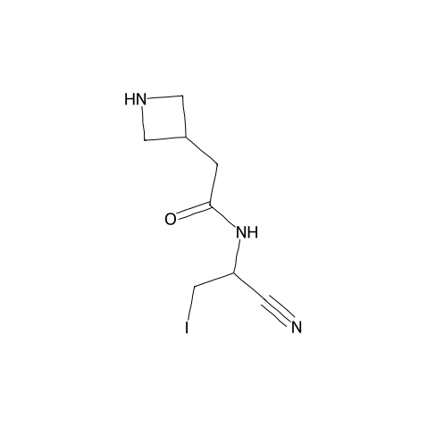 N#CC(CI)NC(=O)CC1CNC1